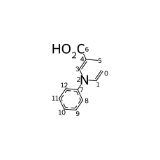 C=CN(C=C(C)C(=O)O)c1ccccc1